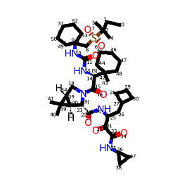 CCC(C)(C)S(=O)(=O)CC1(NC(=O)N[C@H](C(=O)N2C[C@H]3[C@@H]([C@H]2C(=O)NC(CC2CCC2)C(=O)C(=O)NC2CC2)C3(C)C)C2(C)CCCCC2)CCCCC1